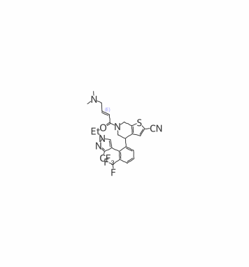 CCn1cc(-c2c(C(F)F)cccc2C2CN(C(=O)/C=C/CN(C)C)Cc3sc(C#N)cc32)c(C(F)(F)F)n1